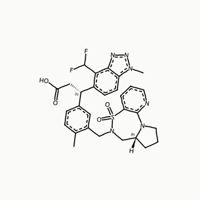 Cc1ccc([C@H](CC(=O)O)c2ccc3c(nnn3C)c2C(F)F)cc1CN1C[C@H]2CCCN2c2ncccc2S1(=O)=O